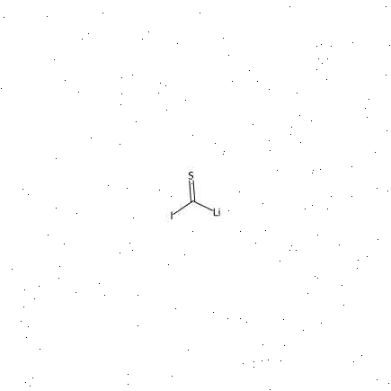 [Li][C](=S)I